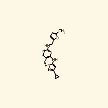 Cc1ccc(CNc2ncc(Br)c(Nc3cc(C4CC4)n[nH]3)n2)o1